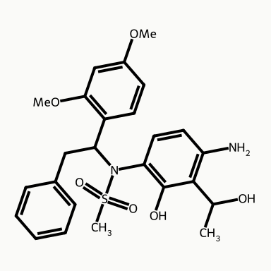 COc1ccc(C(Cc2ccccc2)N(c2ccc(N)c(C(C)O)c2O)S(C)(=O)=O)c(OC)c1